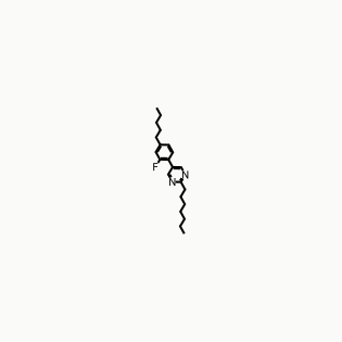 CCCCCCCc1ncc(-c2ccc(CCCCC)cc2F)cn1